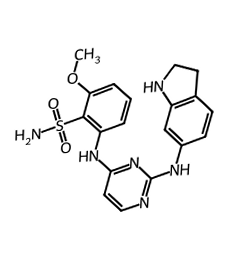 COc1cccc(Nc2ccnc(Nc3ccc4c(c3)NCC4)n2)c1S(N)(=O)=O